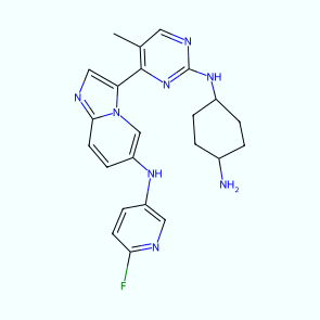 Cc1cnc(NC2CCC(N)CC2)nc1-c1cnc2ccc(Nc3ccc(F)nc3)cn12